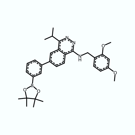 COc1ccc(CNc2nnc(C(C)C)c3cc(-c4cccc(B5OC(C)(C)C(C)(C)O5)c4)ccc23)c(OC)c1